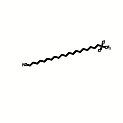 C[Si](Cl)(Cl)CCCCCCCCCCCCCCCCCCCCO